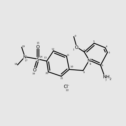 COc1cccc(N)[n+]1Cc1ccc(S(=O)(=O)N(C)C)cc1.[Cl-]